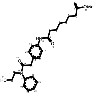 C=C(CCCCCCC(=O)Nc1ccc(CC(=O)N(CCO)c2ccccc2)cc1)OC